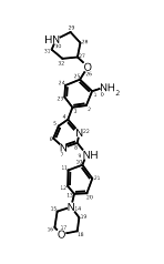 Nc1cc(-c2ccnc(Nc3ccc(N4CCOCC4)cc3)n2)ccc1OC1CCNCC1